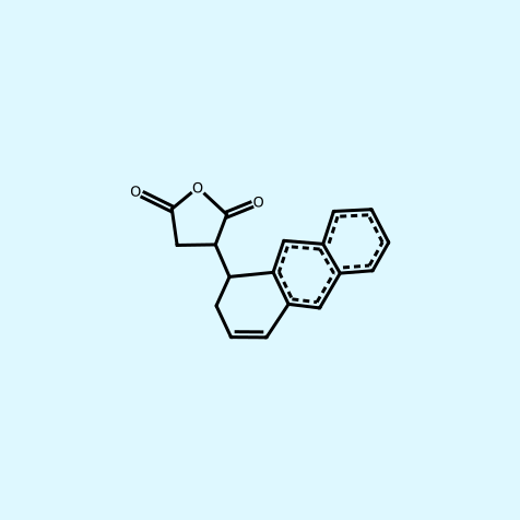 O=C1CC(C2CC=Cc3cc4ccccc4cc32)C(=O)O1